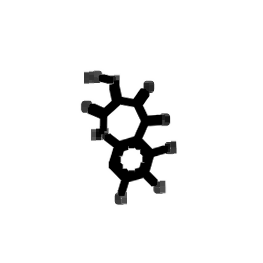 O=C1Nc2cc(Cl)c(Cl)c(Cl)c2C(=O)C(=O)/C1=N/O